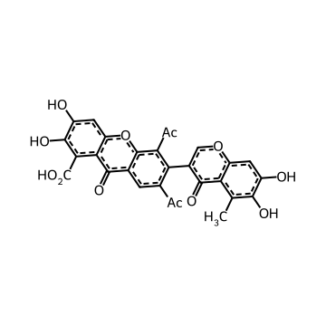 CC(=O)c1cc2c(=O)c3c(C(=O)O)c(O)c(O)cc3oc2c(C(C)=O)c1-c1coc2cc(O)c(O)c(C)c2c1=O